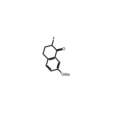 COc1ccc2c(c1)C(=O)C(F)CC2